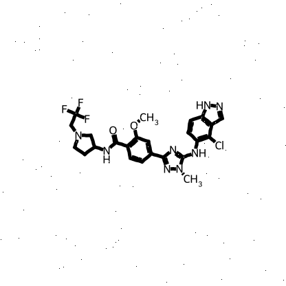 COc1cc(-c2nc(Nc3ccc4[nH]ncc4c3Cl)n(C)n2)ccc1C(=O)NC1CCN(CC(F)(F)F)C1